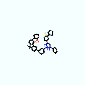 CC1(C)c2ccc(-c3cccc(-c4nc(-c5ccccc5)cc(C5C=Cc6sc7c(c6C5)C=CCC7)n4)c3)cc2-c2c1ccc1c2oc2ccccc21